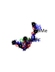 COc1cc(CC(=O)N(C)Cc2c[nH]c(CC(NC(C)=O)C(=O)OC(=O)C(Cc3nc(CN(C)C(=O)Cc4ccc(NC(=O)Nc5ccccc5C)c(OC)c4)co3)NC(=O)c3c(Cl)cccc3Cl)n2)ccc1NC(=O)Nc1ccccc1C